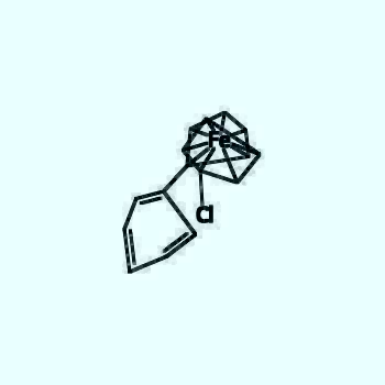 Cl[C]12[CH]3[CH]4[CH]5[CH]1[Fe]45321678[CH]2[CH]1[CH]6[C]7(c1ccccc1)[CH]28